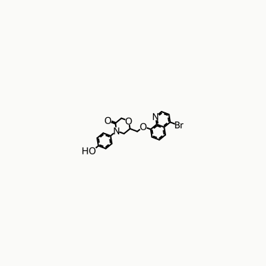 O=C1COC(COc2cccc3c(Br)ccnc23)CN1c1ccc(O)cc1